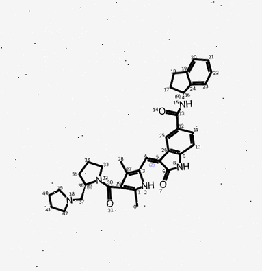 Cc1[nH]c(/C=C2\C(=O)Nc3ccc(C(=O)N[C@@H]4CCc5ccccc54)cc32)c(C)c1C(=O)N1CCC[C@@H]1CN1CCCC1